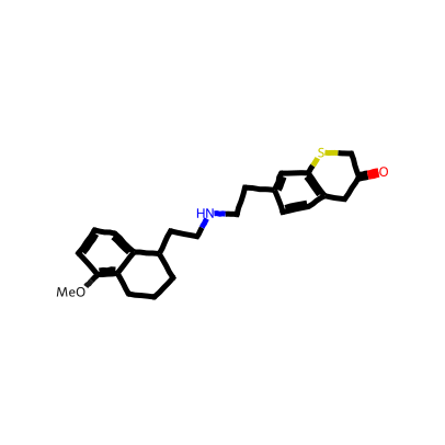 COc1cccc2c1CCCC2CCNCCc1ccc2c(c1)SCC(=O)C2